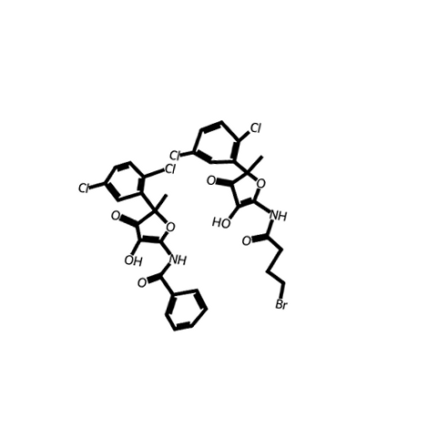 CC1(c2cc(Cl)ccc2Cl)OC(NC(=O)CCCBr)=C(O)C1=O.CC1(c2cc(Cl)ccc2Cl)OC(NC(=O)c2ccccc2)=C(O)C1=O